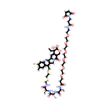 CC[C@@]1(O)C(=O)OCc2c1cc1n(c2=O)Cc2c-1nc1cc(F)c(C)cc1c2CSCCSCNC(=O)[C@H](C)NC(=O)[C@@H](C)NC(=O)[C@H](C)NC(=O)CCOCCOCCOCCOCCOCCOCCNC(=O)CCN1C(=O)C=CC1=O